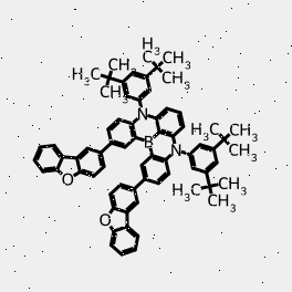 CC(C)(C)c1cc(N2c3ccc(-c4ccc5oc6ccccc6c5c4)cc3B3c4cc(-c5ccc6oc7ccccc7c6c5)ccc4N(c4cc(C(C)(C)C)cc(C(C)(C)C)c4)c4cccc2c43)cc(C(C)(C)C)c1